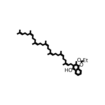 CCC(=O)Oc1c(C)c(CC=C(C)CCC=C(C)CCC=C(C)CCC=C(C)CCC=C(C)CCC=C(C)CCC=C(C)C)c(O)c2ccccc12